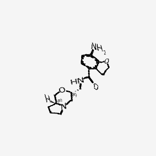 Nc1ccc(C(=O)NC[C@@H]2CN3CCC[C@@H]3CO2)c2c1OCC2